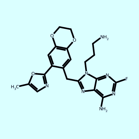 Cc1cnc(-c2cc3c(cc2Cc2nc4c(N)nc(F)nc4n2CCCN)OCCO3)o1